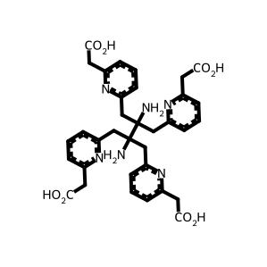 NC(Cc1cccc(CC(=O)O)n1)(Cc1cccc(CC(=O)O)n1)C(N)(Cc1cccc(CC(=O)O)n1)Cc1cccc(CC(=O)O)n1